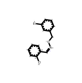 CCc1cccc(CO/N=[C]\c2ccccc2Cl)c1